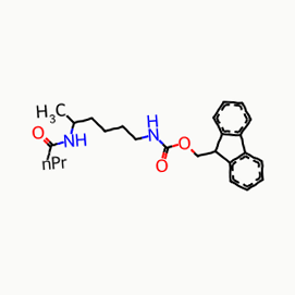 CCCC(=O)NC(C)CCCCNC(=O)OCC1c2ccccc2-c2ccccc21